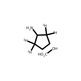 O=C(O)O.[2H]C1([2H])CCC([2H])([2H])C1N